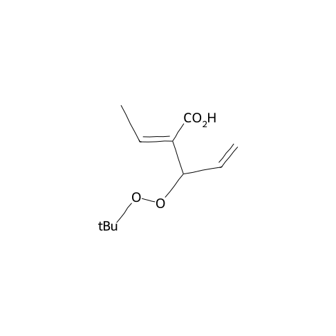 C=CC(OOC(C)(C)C)C(=CC)C(=O)O